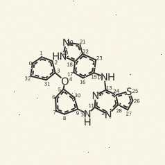 c1ccc(Oc2cccc(Nc3nc(Nc4ccc5[nH]ncc5c4)c4sccc4n3)c2)cc1